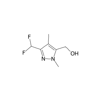 Cc1c(C(F)F)nn(C)c1CO